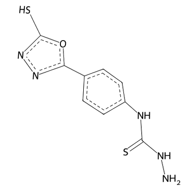 NNC(=S)Nc1ccc(-c2nnc(S)o2)cc1